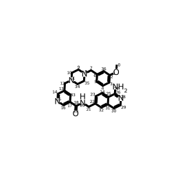 COc1cccc(CN2CCN(Cc3cncc(C(=O)NCc4ccc5c(N)nccc5c4)c3)CC2)c1